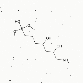 CO[Si](O)(CCCC(O)CC(O)CN)OC